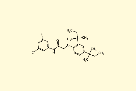 CCC(C)(C)c1ccc(OCC(=O)Nc2cc(Cl)[c]c(Cl)c2)c(C(C)(C)CC)c1